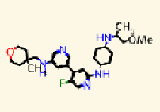 COC[C@H](C)N[C@H]1CC[C@H](Nc2cc(-c3cncc(NCC4(C)CCOCC4)c3)c(F)cn2)CC1